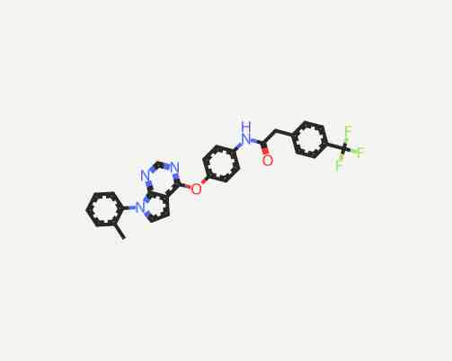 Cc1ccccc1-n1ccc2c(Oc3ccc(NC(=O)Cc4ccc(C(F)(F)F)cc4)cc3)ncnc21